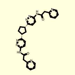 O=C(Cc1ccccn1)Nc1ccc([C@@H]2CC[C@H](c3ccc(NC(=O)Cc4ccccn4)nn3)C2)nn1